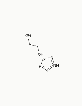 OCCO.c1nc[nH]n1